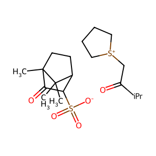 CC(C)C(=O)C[S+]1CCCC1.CC12CCC(C(S(=O)(=O)[O-])C1=O)C2(C)C